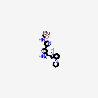 CC(C)(C)CC(=O)Nc1cncc(-c2cnc3[nH]nc(-c4cc5c(N6CCCCC6)cccc5[nH]4)c3c2)c1